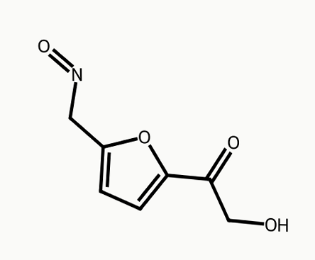 O=NCc1ccc(C(=O)CO)o1